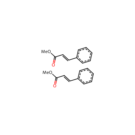 COC(=O)C=Cc1ccccc1.COC(=O)C=Cc1ccccc1